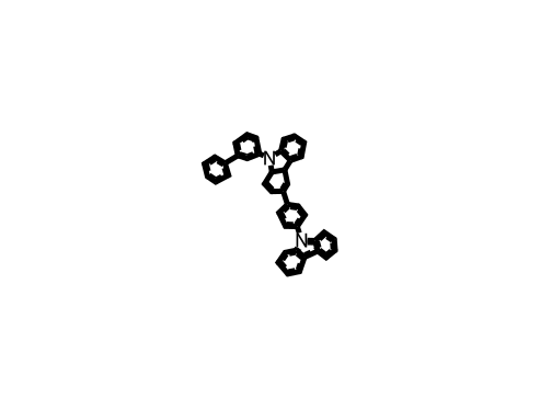 C1=CC2C(C=C1c1ccc(-n3c4ccccc4c4ccccc43)cc1)c1ccccc1N2c1cccc(-c2ccccc2)c1